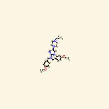 CCN1CCN(c2cnc(N(Cc3ccc(OC)cc3)Cc3ccc(OC)cc3)nc2)CC1